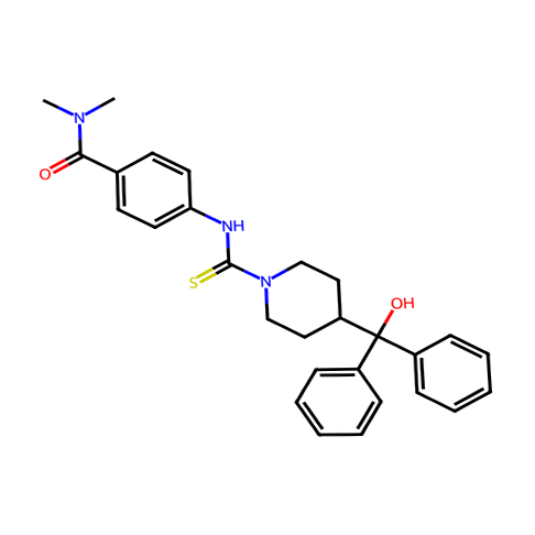 CN(C)C(=O)c1ccc(NC(=S)N2CCC(C(O)(c3ccccc3)c3ccccc3)CC2)cc1